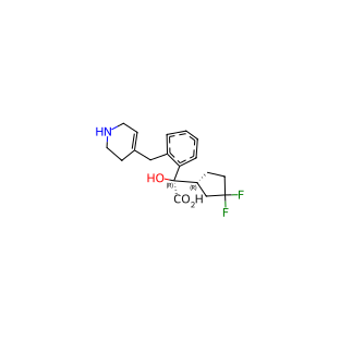 O=C(O)[C@](O)(c1ccccc1CC1=CCNCC1)[C@@H]1CCC(F)(F)C1